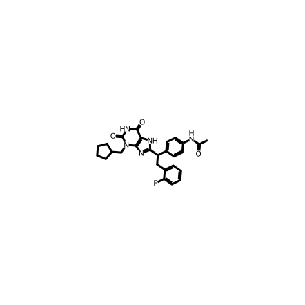 CC(=O)Nc1ccc(C(Cc2ccccc2F)c2nc3c([nH]2)c(=O)[nH]c(=O)n3CC2CCCC2)cc1